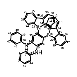 c1ccc(Nc2cc(-n3c4ccccc4c4ccccc43)c(-n3c4ccccc4c4ccccc43)cc2Nc2ccccc2)cc1